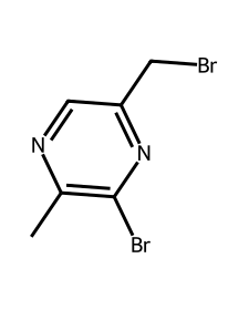 Cc1ncc(CBr)nc1Br